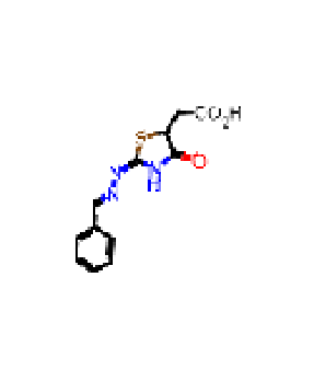 O=C(O)CC1SC(=NN=Cc2ccccc2)NC1=O